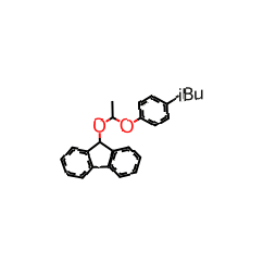 CCC(C)c1ccc(OC(C)OC2c3ccccc3-c3ccccc32)cc1